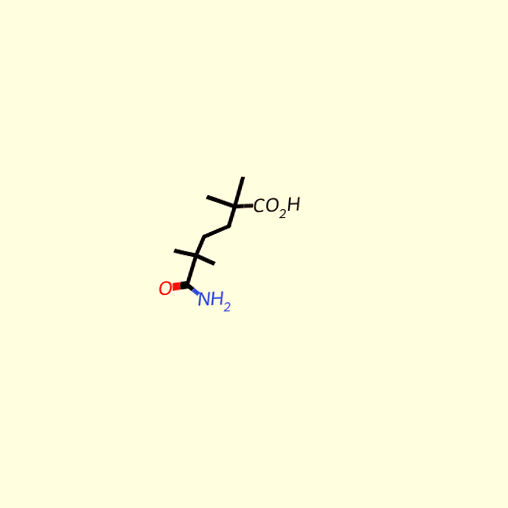 CC(C)(CCC(C)(C)C(=O)O)C(N)=O